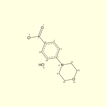 Cl.O=C(Cl)c1ccc(N2CCOCC2)cc1